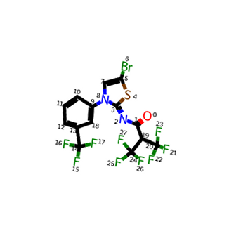 O=C(N=c1sc(Br)cn1-c1cccc(C(F)(F)F)c1)C(C(F)(F)F)C(F)(F)F